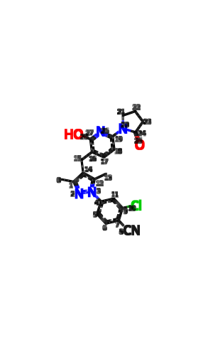 Cc1nn(-c2ccc(C#N)c(Cl)c2)c(C)c1Cc1ccc(N2CCCC2=O)nc1O